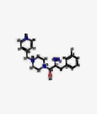 Cc1cccc(CC(N)C(=O)N2CCN(Cc3ccncc3)CC2)c1